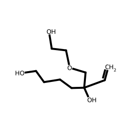 C=CC(O)(CCCCO)COCCO